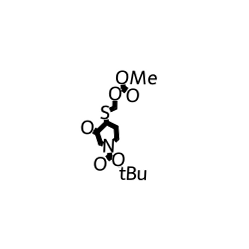 COC(=O)OCSC1CCN(C(=O)OC(C)(C)C)CC1=O